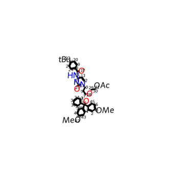 COc1ccc(C(OC[C@H](CCn2ccc(NC(=O)c3ccc(C(C)(C)C)cc3)nc2=O)OCCOC(C)=O)(c2ccccc2)c2ccc(OC)cc2)cc1